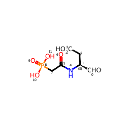 O=[C][C@H](CC(=O)O)NC(=O)CP(=O)(O)O